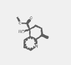 C=C1CCC(O)(C(=O)OC)c2cccnc21